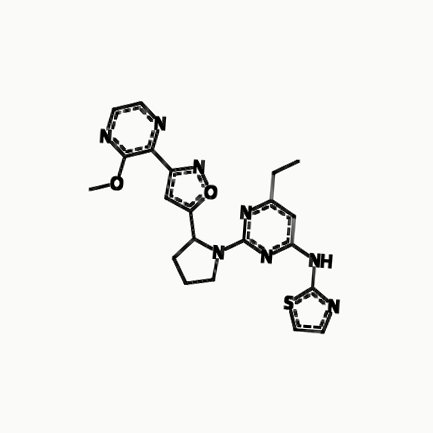 CCc1cc(Nc2nccs2)nc(N2CCCC2c2cc(-c3nccnc3OC)no2)n1